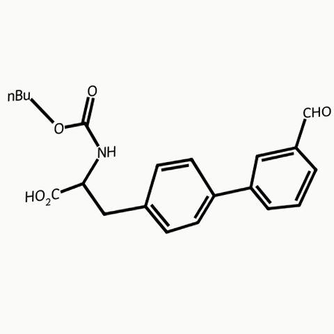 CCCCOC(=O)NC(Cc1ccc(-c2cccc(C=O)c2)cc1)C(=O)O